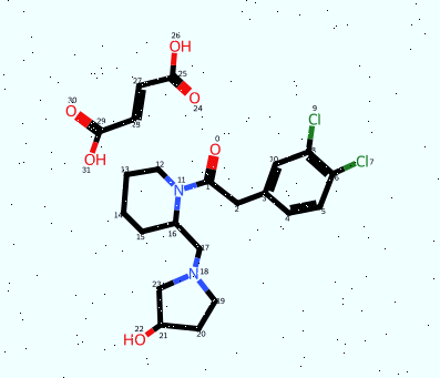 O=C(Cc1ccc(Cl)c(Cl)c1)N1CCCCC1CN1CCC(O)C1.O=C(O)C=CC(=O)O